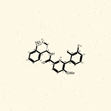 COc1ccc(C(=O)N[C@@H](CC(=O)O)c2ccccc2Cl)nc1-c1cccc(F)c1C